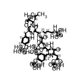 CC(C)C[C@H](NC(=O)[C@H](Cc1ccc(OP(=O)(O)O)cc1)NC(=O)[C@H](CCCCNP(=O)(O)O)NC(=O)[C@H](COP(=O)(O)O)NC(=O)[C@H](Cc1ccc(OP(=O)(O)O)cc1)NC(=O)[C@@H](N)CC(=O)OP(=O)(O)O)C(=O)O